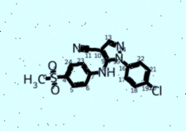 CS(=O)(=O)c1ccc(Nc2c(C#N)cnn2-c2ccc(Cl)cc2)cc1